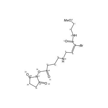 COCCNC(=O)/C(Br)=C\CNCCCC(=O)ON1C(=O)CCC1=O